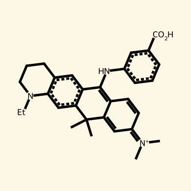 CCN1CCCc2cc3c(cc21)C(C)(C)C1=CC(=[N+](C)C)C=CC1=C3Nc1cccc(C(=O)O)c1